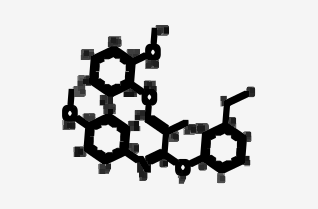 CCc1cccc(OC(=N/c2ccc(OC)cc2)/C(C)=C/Oc2ccccc2OC)c1